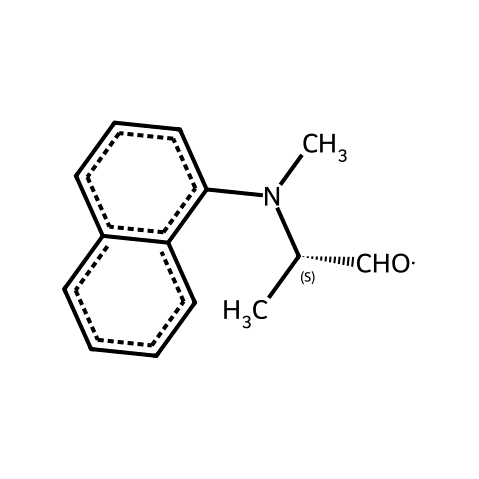 C[C@@H]([C]=O)N(C)c1cccc2ccccc12